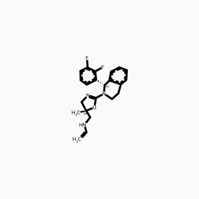 C=CNC[C@]1(C)CN=C(N2CCc3ccccc3[C@H]2c2cccc(F)c2F)O1